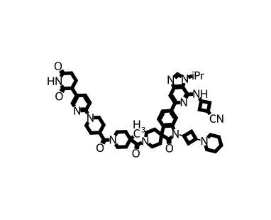 CC(C)n1cnc2cc(-c3ccc4c(c3)N([C@H]3C[C@@H](N5CCCCC5)C3)C(=O)C43CCN(C(=O)C4(C)CCN(C(=O)C5CCN(c6ccc(C7CCC(=O)NC7=O)cn6)CC5)CC4)CC3)nc(NC3CC(C#N)C3)c21